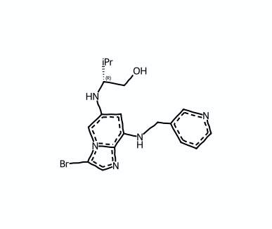 CC(C)[C@H](CO)Nc1cc(NCc2cccnc2)c2ncc(Br)n2c1